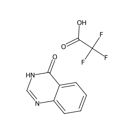 O=C(O)C(F)(F)F.O=c1[nH]cnc2ccccc12